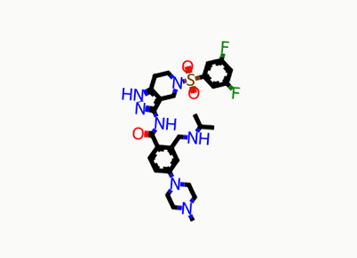 CC(C)NCc1cc(N2CCN(C)CC2)ccc1C(=O)Nc1n[nH]c2c1CN(S(=O)(=O)c1cc(F)cc(F)c1)CC2